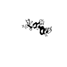 CC(N)C(=O)N1CCC(C(C)NC(=O)c2ccc3[nH]c(=O)[nH]c3c2)CC1